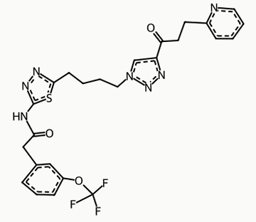 O=C(Cc1cccc(OC(F)(F)F)c1)Nc1nnc(CCCCn2cc(C(=O)CCc3ccccn3)nn2)s1